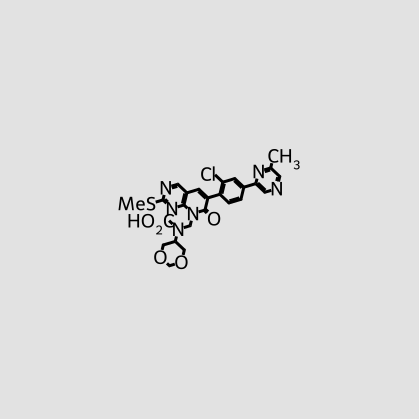 CSc1ncc2cc(-c3ccc(-c4cncc(C)n4)cc3Cl)c(=O)n(CN(C(=O)O)C3COCOC3)c2n1